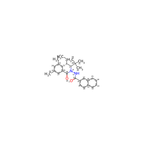 CCCC(N(NC(=O)c1ccc2ccccc2c1)C(=O)c1cc(C)cc(C)c1)C(C)(C)C